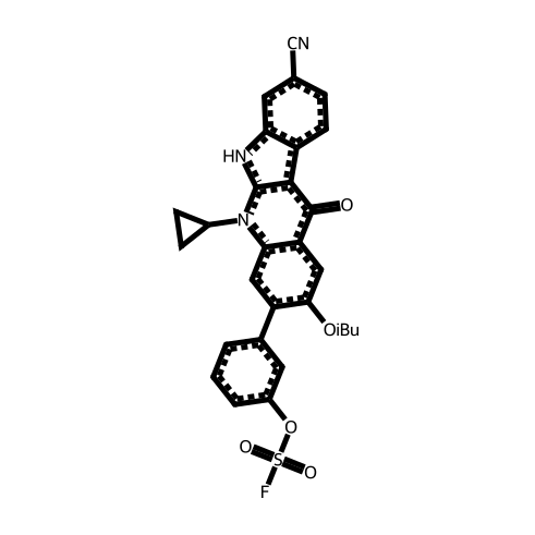 CC(C)COc1cc2c(=O)c3c4ccc(C#N)cc4[nH]c3n(C3CC3)c2cc1-c1cccc(OS(=O)(=O)F)c1